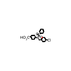 O=C(O)c1ccc(N(Cc2ccc(Cl)cc2)S(=O)(=O)c2ccccc2)cc1